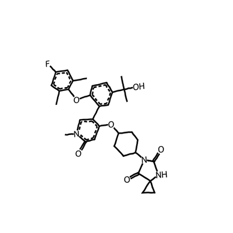 Cc1cc(F)cc(C)c1Oc1ccc(C(C)(C)O)cc1-c1cn(C)c(=O)cc1OC1CCC(N2C(=O)NC3(CC3)C2=O)CC1